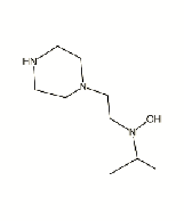 CC(C)N(O)CCN1CCNCC1